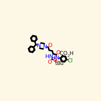 CC(C)(C)OC(=O)NC(CCC(=O)N1CCN(C(c2ccccc2)c2ccccc2)CC1)C(=O)Nc1ccc(Cl)cc1C(=O)O